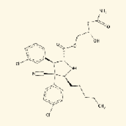 CCCCC[C@@H]1N[C@@H](C(=O)OC[C@@H](O)CC(N)=O)[C@H](c2cccc(Cl)c2)[C@@]1(C#N)c1ccc(Cl)cc1